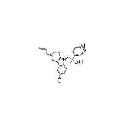 C=CCN1CCc2c(c3cc(Cl)ccc3n2CC(C)(O)c2ccncc2)C1